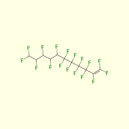 FC(F)=C(F)C(F)(F)C(F)(F)C(F)(F)C(F)(F)C(F)C(F)C(F)C(F)C(F)F